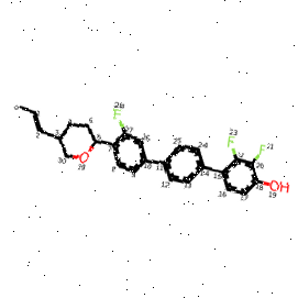 C/C=C/C1CCC(c2ccc(-c3ccc(-c4ccc(O)c(F)c4F)cc3)cc2F)OC1